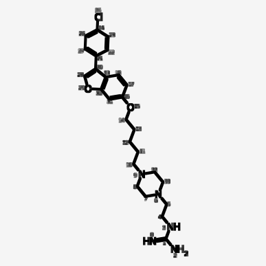 N=C(N)NCCN1CCN(CCCCCOc2ccc3c(-c4ccc(Cl)cc4)coc3c2)CC1